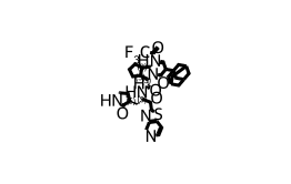 O=C1NCC[C@H]1C[C@H](NC(=O)[C@@H]1[C@H]2CCC[C@H]2CN1C(=O)C(C=NC(=O)C(F)(F)F)C12CC3CC(CC(C3)C1)C2)C(=O)c1nc2cnccc2s1